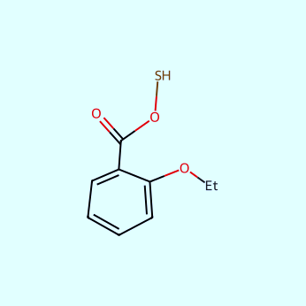 CCOc1ccccc1C(=O)OS